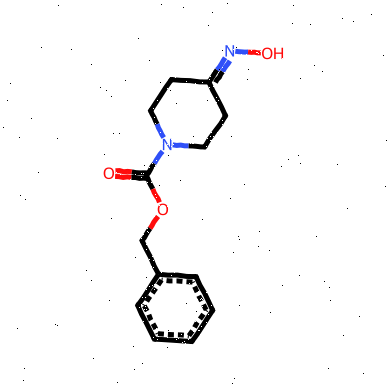 O=C(OCc1ccccc1)N1CCC(=NO)CC1